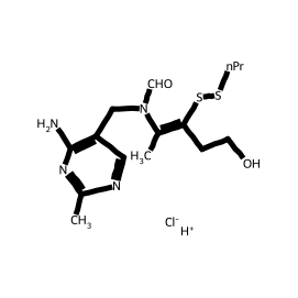 CCCSS/C(CCO)=C(/C)N(C=O)Cc1cnc(C)nc1N.[Cl-].[H+]